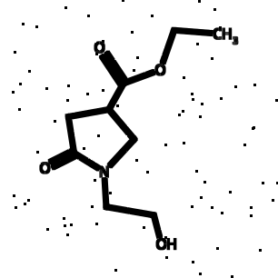 CCOC(=O)C1CC(=O)N(CCO)C1